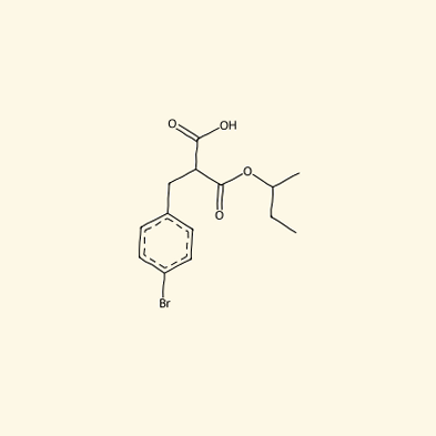 CCC(C)OC(=O)C(Cc1ccc(Br)cc1)C(=O)O